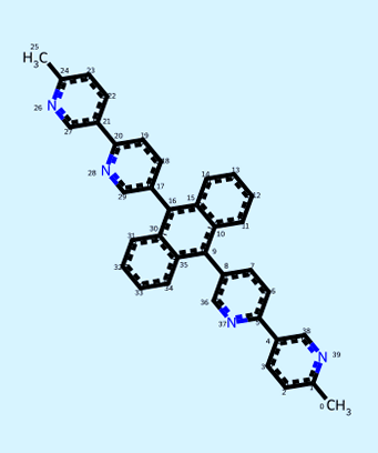 Cc1ccc(-c2ccc(-c3c4ccccc4c(-c4ccc(-c5ccc(C)nc5)nc4)c4ccccc34)cn2)cn1